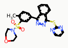 Cc1ccc(-c2nnc(Sc3ncccn3)c3ccccc23)cc1S(=O)(=O)N1CCOCC1